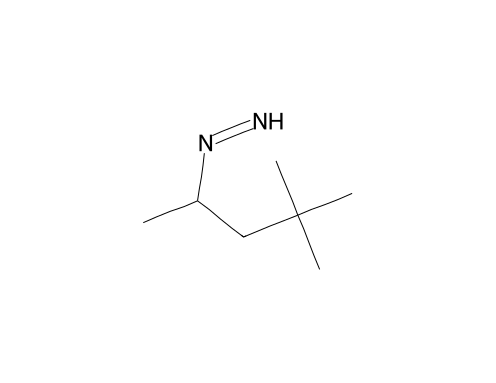 CC(CC(C)(C)C)N=N